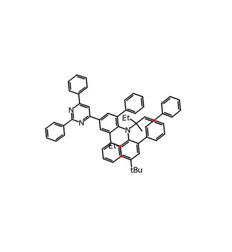 CCc1cc(C(C)(C)C)cc(-c2ccccc2)c1N(c1c(-c2ccccc2)cc(-c2cc(-c3ccccc3)nc(-c3ccccc3)n2)cc1-c1ccccc1)C(C)(/C=C/c1ccccc1)CC